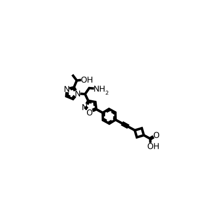 CC(O)c1nccn1C(CN)c1cc(-c2ccc(C#CC3CC(C(=O)O)C3)cc2)on1